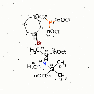 Br[SiH]1CCCCC1.CCCCCCCCP(CCCCCCCC)CCCCCCCC.CCCCCCCC[SiH](C)N(C)[Si](C)(C)CCCCCCCC